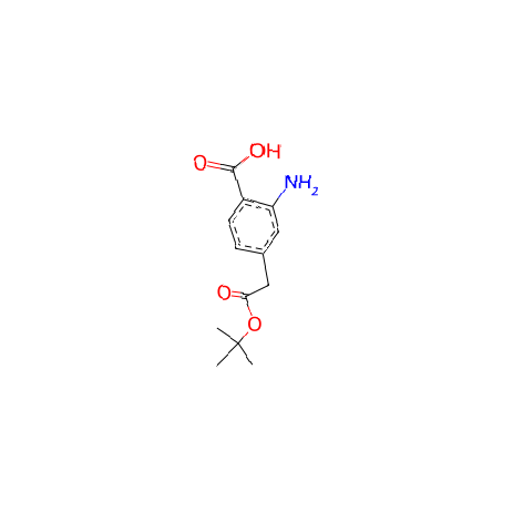 CC(C)(C)OC(=O)Cc1ccc(C(=O)O)c(N)c1